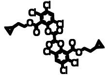 O=C(Oc1c(Cl)cc(Cl)c(Cl)c1C(=O)OCCC1CC1)C(=O)Oc1c(Cl)cc(Cl)c(Cl)c1C(=O)OCCC1CC1